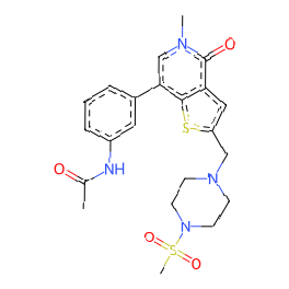 CC(=O)Nc1cccc(-c2cn(C)c(=O)c3cc(CN4CCN(S(C)(=O)=O)CC4)sc23)c1